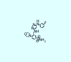 NS(=O)(=O)c1ccc(N2CCOCC2)c(CNc2cc(Nc3cccc(F)c3)ncn2)c1